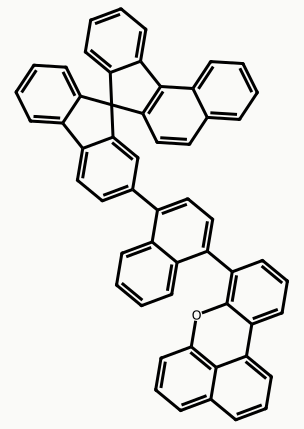 c1ccc2c(c1)-c1ccc(-c3ccc(-c4cccc5c4Oc4cccc6cccc-5c46)c4ccccc34)cc1C21c2ccccc2-c2c1ccc1ccccc21